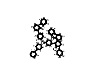 c1ccc(-c2ccc(N(c3ccc(-c4cccc5c4oc4ccccc45)cc3)c3ccc(-c4cccc5c4oc4ccccc45)c(-n4c5ccccc5c5ccccc54)c3)cc2)cc1